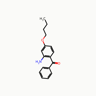 CCCCOc1ccc(C(=O)c2ccccc2)c(N)c1